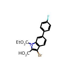 CCOC(=O)n1c(C(=O)O)c(Br)c2ccc(-c3ccc(F)cc3)cc21